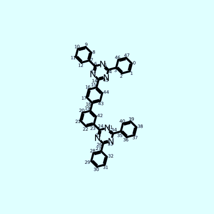 c1ccc(-c2nc(-c3ccccc3)nc(-c3ccc(-c4cccc(-c5nc(-c6ccccc6)nc(-c6ccccc6)n5)c4)cc3)n2)cc1